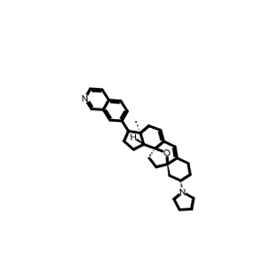 C[C@]12CC=C3C=C4CC[C@H](N5CCCC5)C[C@]45CC[C@]3(O5)[C@@H]1CCC2c1ccc2ccncc2c1